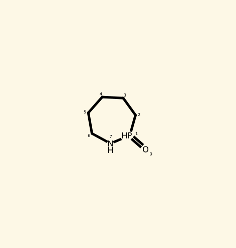 O=[PH]1CCCCCN1